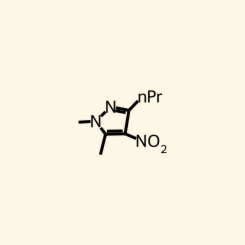 CCCc1nn(C)c(C)c1[N+](=O)[O-]